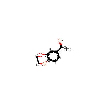 [2H]C(=O)c1ccc2c(c1)OCCO2